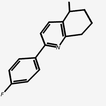 O=CC1CCCc2nc(-c3ccc(F)cc3)ccc21